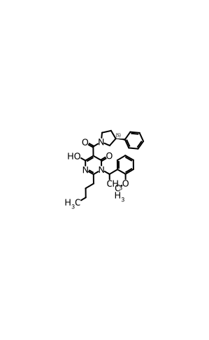 CCCCc1nc(O)c(C(=O)N2CC[C@@H](c3ccccc3)C2)c(=O)n1C(C)c1ccccc1OC